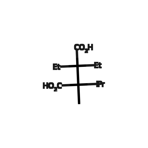 CCC(CC)(C(=O)O)C(C)(C(=O)O)C(C)C